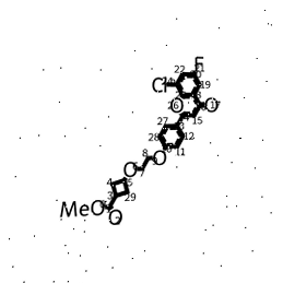 COC(=O)C1CC(OCCOc2ccc(-c3cc(=O)c4cc(F)cc(Cl)c4o3)cc2)C1